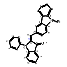 CCn1c2ccccc2c2cc(/C=C3\C(=O)c4ccccc4N3c3ccccc3)ccc21